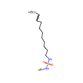 CCCCCCCC/C=C/CCCCCCCCNS(=O)(=O)NCCC